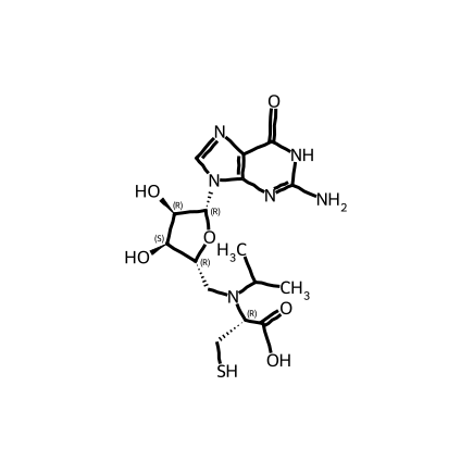 CC(C)N(C[C@H]1O[C@@H](n2cnc3c(=O)[nH]c(N)nc32)[C@H](O)[C@@H]1O)[C@@H](CS)C(=O)O